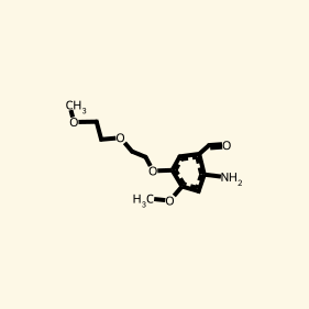 COCCOCCOc1cc(C=O)c(N)cc1OC